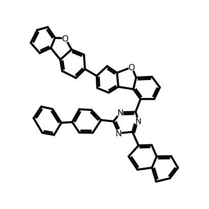 c1ccc(-c2ccc(-c3nc(-c4ccc5ccccc5c4)nc(-c4cccc5oc6cc(-c7ccc8c(c7)oc7ccccc78)ccc6c45)n3)cc2)cc1